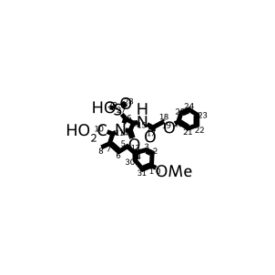 COc1ccc(CC=C(C)C(C(=O)O)N2C(=O)C(NC(=O)COc3ccccc3)C2S(=O)O)cc1